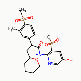 CS(=O)(=O)c1ccc(C(CC2CCCCO2)C(=O)Nc2ncc(O)cc2S(C)(=O)=O)cc1C(F)(F)F